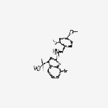 COc1ccc(CNc2cc(C(C)(C)O)c3cccc(Br)c3n2)c(OC)c1